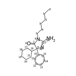 CCCCCCN1C(=O)C(c2ccccc2)(C2CCCCC2)N=C1N